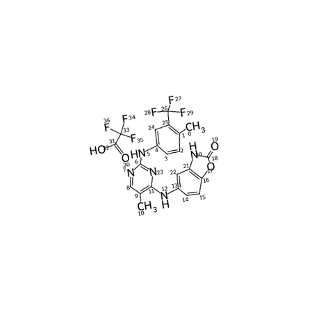 Cc1ccc(Nc2ncc(C)c(Nc3ccc4oc(=O)[nH]c4c3)n2)cc1C(F)(F)F.O=C(O)C(F)(F)F